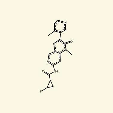 Cc1ccncc1-c1cc2cnc(NC(=O)[C@H]3CC3F)cc2n(C)c1=O